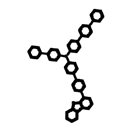 c1ccc(-c2ccc(-c3ccc(N(c4ccc(-c5ccccc5)cc4)c4ccc(-c5ccc(-c6cccc7c6oc6ccccc67)cc5)cc4)cc3)cc2)cc1